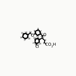 O=C(O)CCC(C(=O)c1cccc(OCc2ccccc2)c1)c1cccc(Cl)c1